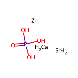 O=P(O)(O)O.[CaH2].[SrH2].[Zn]